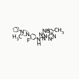 Cc1csc2c(-n3nc(Nc4ccc(N5CCN(C6CC7CCC6C7)C(C)C5)c(F)c4)nc3N)ncnc12